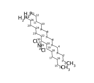 CCCCCCCCCCCCCP.CCCCCCCCCCCCCP.[Cl][Ni][Cl]